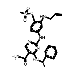 C=CCNc1cc(Nc2ncc(C(N)=O)c(N[C@H](C)c3ccccc3)n2)ccc1OS(C)(=O)=O